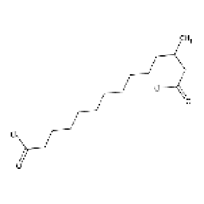 CC(CCCCCCCCCCC(=O)Cl)CC(=O)Cl